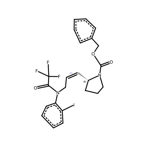 O=C(OCc1ccccc1)N1CCC[C@@H]1/C=C\CN(C(=O)C(F)(F)F)c1ccccc1I